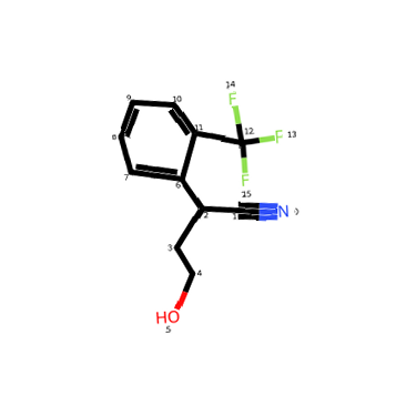 N#CC(CCO)c1ccccc1C(F)(F)F